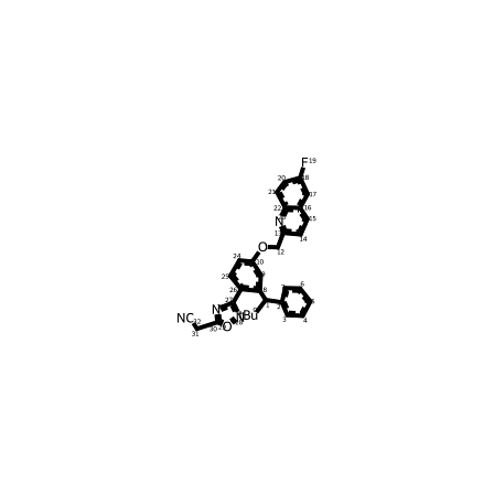 CC(C)(C)C(c1ccccc1)c1cc(OCc2ccc3cc(F)ccc3n2)ccc1-c1noc(CC#N)n1